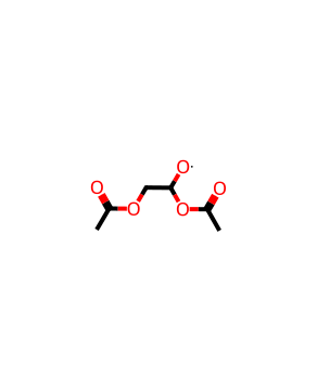 CC(=O)OCC([O])OC(C)=O